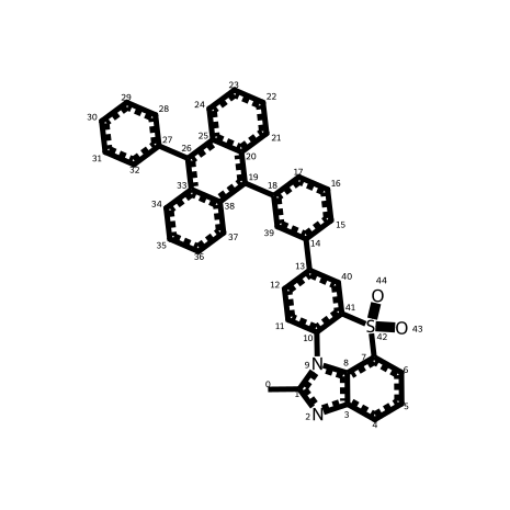 Cc1nc2cccc3c2n1-c1ccc(-c2cccc(-c4c5ccccc5c(-c5ccccc5)c5ccccc45)c2)cc1S3(=O)=O